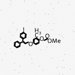 COC(=O)COc1ccc(OCC=C(c2ccccc2)c2ccc(I)cc2)cc1C